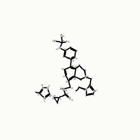 CCn1ccnc1CN1CCc2c(-c3cccc(OC(F)(F)F)c3)ccc(CNC(=O)C3C[C@@H]3c3nc(C)no3)c2C1